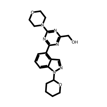 OCc1nc(-c2cccc3c2cnn3C2CCCCO2)nc(N2CCOCC2)n1